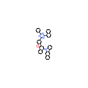 c1ccc(-c2nc(-c3ccc4oc5c6ccccc6c(-n6c7ccccc7c7cc8ccccc8cc76)cc5c4c3)nc(-c3cccc4ccccc34)n2)cc1